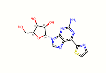 Nc1nc(-c2nccs2)c2ncn([C@@H]3O[C@H](CO)[C@@H](O)[C@H]3O)c2n1